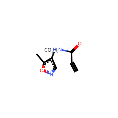 C#CC(N)=O.Cc1oncc1C(=O)O